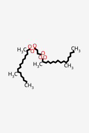 CCCCCCC(C)CCCCCCCCC(C)C(=O)OC(=O)CCC(=O)OC(=O)C(C)CCCCCCCCC(C)CCCCCC